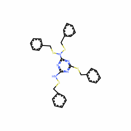 c1ccc(CSNc2nc(SCc3ccccc3)nc(N(SCc3ccccc3)SCc3ccccc3)n2)cc1